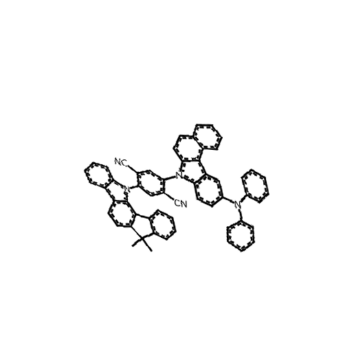 CC1(C)c2ccccc2-c2c1ccc1c3ccccc3n(-c3cc(C#N)c(-n4c5ccc(N(c6ccccc6)c6ccccc6)cc5c5c6ccccc6ccc54)cc3C#N)c21